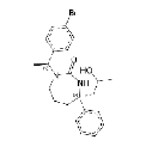 CC(O)C[C@]1(c2ccccc2)CCCN([C@@H](C)c2ccc(Br)cc2)C(=O)N1